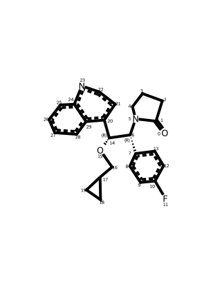 O=C1CCCN1[C@H](c1ccc(F)cc1)[C@H](OCC1CC1)c1ccnc2ccccc12